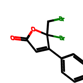 O=C1C=C(c2ccccc2)C(Br)(CBr)O1